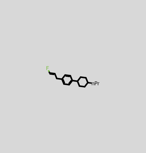 CCCC1CCC(c2ccc(C/C=C/F)cc2)CC1